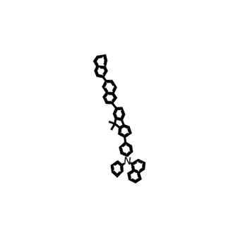 CC1(C)c2cc(-c3ccc(N(c4ccccc4)c4cccc5ccccc45)cc3)ccc2-c2ccc(-c3ccc4cc(-c5ccc6ccccc6c5)ccc4c3)cc21